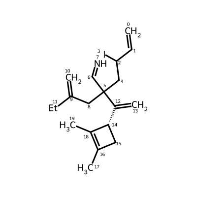 C=CC(I)CC(C=N)(CC(=C)CC)C(=C)[C@@H]1CC(C)=C1C